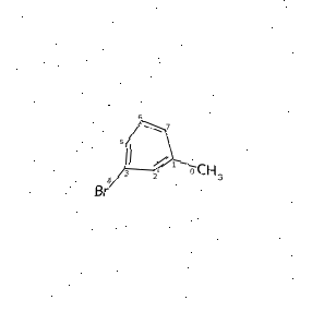 Cc1[c]c(Br)ccc1